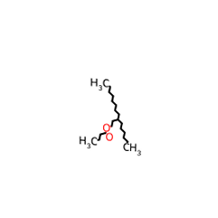 CCCCCCCCC(CCCCCC)CCOC(=O)CCC